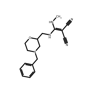 CNC(NCC1CN(Cc2ccccc2)CCO1)=C(C#N)C#N